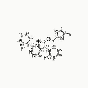 Cc1csc(COc2nn3c(-c4ccccc4F)nncc3c2-c2ccccc2F)n1